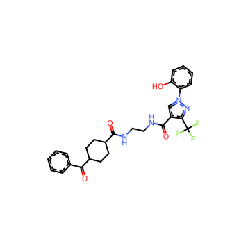 O=C(NCCNC(=O)C1CCC(C(=O)c2ccccc2)CC1)c1cn(-c2ccccc2O)nc1C(F)(F)F